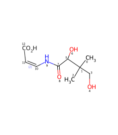 CC(C)(CO)C(O)C(=O)N/C=C\C(=O)O